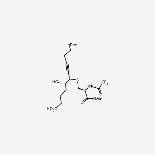 CCCCCCCCCCCCC#C[C@@H](SC[C@@H](NC(=O)C(F)(F)F)C(=O)OC)[C@@H](O)CCCC(=O)O